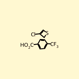 ClC1=CSC1.O=C(O)c1ccc(C(F)(F)F)cc1